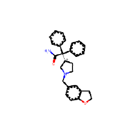 NC(=O)C(c1ccccc1)(c1ccccc1)[C@@H]1CCN(Cc2ccc3c(c2)CCO3)C1